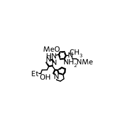 CCC(O)CCc1cnc(Nc2cc(N)c(N(C)CCNC)cc2OC)nc1-c1cn2c3c(cccc13)CCC2